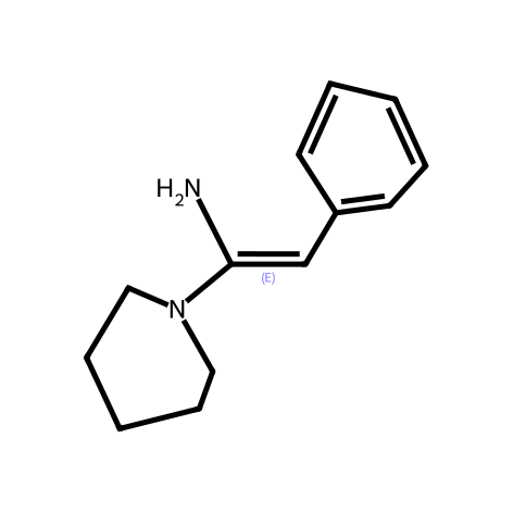 N/C(=C\c1ccccc1)N1CCCCC1